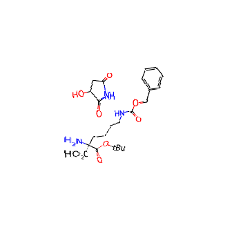 CC(C)(C)OC(=O)C(N)(CCCCNC(=O)OCc1ccccc1)C(=O)O.O=C1CC(O)C(=O)N1